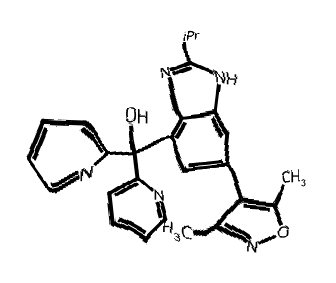 Cc1noc(C)c1-c1cc(C(O)(c2ccccn2)c2ccccn2)c2nc(C(C)C)[nH]c2c1